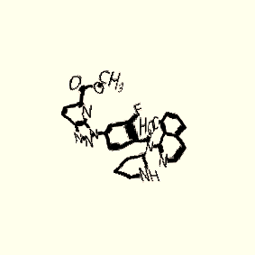 COC(=O)c1ccc2nnn(-c3ccc(C(=O)N(c4nccc5cccc(C)c45)[C@@H]4CCCNC4)c(F)c3)c2n1